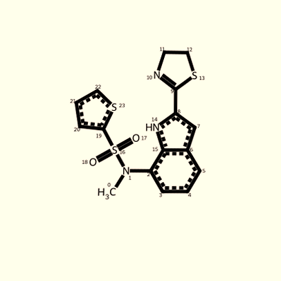 CN(c1cccc2cc(C3=NCCS3)[nH]c12)S(=O)(=O)c1cccs1